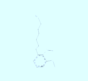 COc1cccc(CCCCCCBr)c1OC